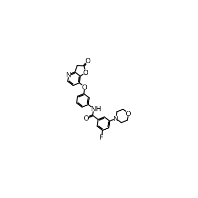 O=C1Cc2nccc(Oc3cccc(NC(=O)c4cc(F)cc(N5CCOCC5)c4)c3)c2O1